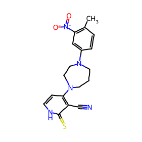 Cc1ccc(N2CCCN(c3cc[nH]c(=S)c3C#N)CC2)cc1[N+](=O)[O-]